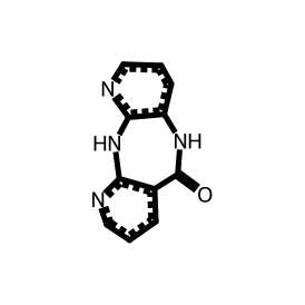 O=C1Nc2cccnc2Nc2ncccc21